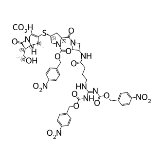 C[C@@H](O)[C@H]1C(=O)N2C(C(=O)O)=C(S[C@H]3C[C@@H](C(=O)N4CC(NC(=O)CCCNC(=NC(=O)OCc5ccc([N+](=O)[O-])cc5)NC(=O)OCc5ccc([N+](=O)[O-])cc5)C4)N(C(=O)OCc4ccc([N+](=O)[O-])cc4)C3)[C@H](C)[C@H]12